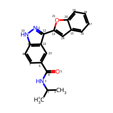 CC(C)NC(=O)c1ccc2[nH]nc(-c3cc4ccccc4o3)c2c1